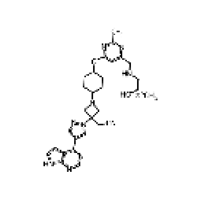 C[C@H](O)CNCc1cc(OC2CCC(N3CC(CC#N)(n4cc(-c5ncnc6[nH]ccc56)cn4)C3)CC2)nc(C(F)(F)F)n1